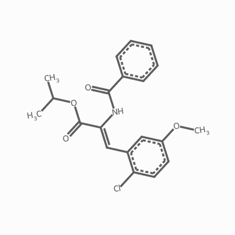 COc1ccc(Cl)c(C=C(NC(=O)c2ccccc2)C(=O)OC(C)C)c1